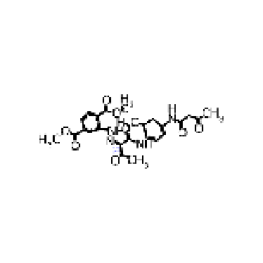 COC(=O)c1ccc(C(=O)OC)c(N/N=C(/C(C)=O)C(=O)NC2=CC=C(NC(=O)CC(C)=O)CC2C)c1